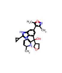 Cc1noc(C)c1-c1cc(C(O)(C2=CC=CC(C)N2I)C2CCOC2)c2nc(C3CC3)[nH]c2c1